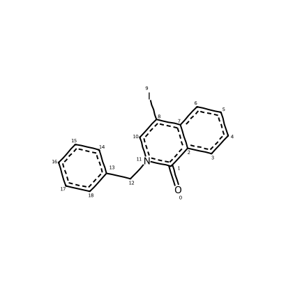 O=c1c2ccccc2c(I)cn1Cc1ccccc1